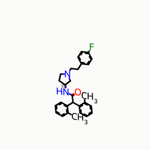 Cc1ccccc1C(C(=O)N[C@H]1CCN(CCc2ccc(F)cc2)C1)c1ccccc1C